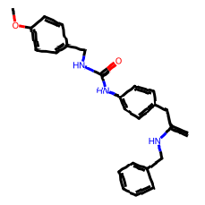 C=C(Cc1ccc(NC(=O)NCc2ccc(OC)cc2)cc1)NCc1ccccc1